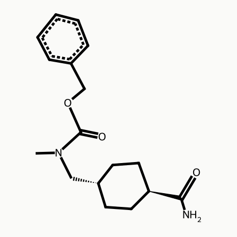 CN(C[C@H]1CC[C@H](C(N)=O)CC1)C(=O)OCc1ccccc1